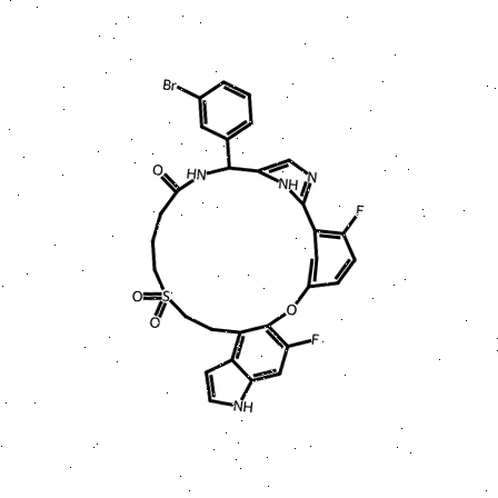 O=C1CCCS(=O)(=O)CCc2c(c(F)cc3[nH]ccc23)Oc2ccc(F)c(c2)-c2ncc([nH]2)C(c2cccc(Br)c2)N1